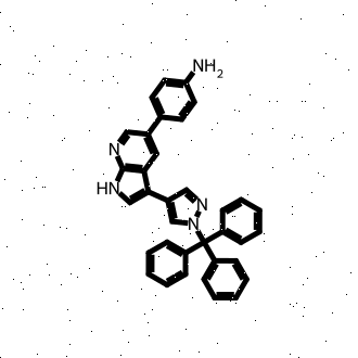 Nc1ccc(-c2cnc3[nH]cc(-c4cnn(C(c5ccccc5)(c5ccccc5)c5ccccc5)c4)c3c2)cc1